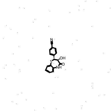 N#Cc1ccc([C@@H]2Sc3ccccc3NC(=O)[C@@H]2O)cc1